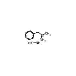 C[C@@H](N)Cc1ccccc1.NC=O